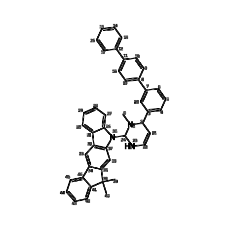 CN1C(c2cccc(-c3ccc(-c4ccccc4)cc3)c2)C=CNC1n1c2ccccc2c2cc3c(cc21)C(C)(C)c1ccccc1-3